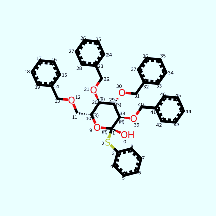 O[C@@]1(Sc2ccccc2)O[C@H](COCc2ccccc2)[C@@H](OCc2ccccc2)[C@H](OCc2ccccc2)[C@H]1OCc1ccccc1